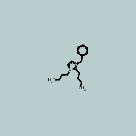 CCCCc1n(Cc2ccccc2)cc[n+]1CCCC